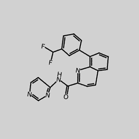 O=C(Nc1ccncn1)c1ccc2cccc(-c3cccc(C(F)F)c3)c2n1